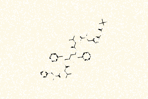 CC(C)[C@H](NC(=O)N(C)Cc1cscn1)C(=O)N[C@@H](Cc1ccccc1)[C@H](O)[C@@H](O)[C@H](Cc1ccccc1)NC(=O)[C@@H](NC(=O)N(C)Cc1csc(NC(=O)OC(C)(C)C)n1)C(C)C